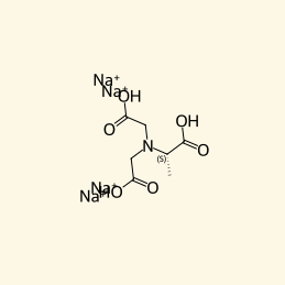 C[C@@H](C(=O)O)N(CC(=O)O)CC(=O)O.[Na+].[Na+].[Na+].[Na+]